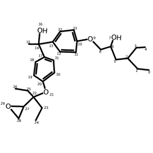 CCC(CC)CC(O)COc1ccc(C(C)(O)c2ccc(OC(CC)(CC)C3CO3)cc2)cc1